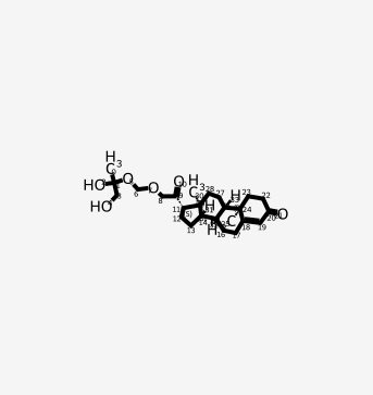 CC(O)(CO)OCOCC(=O)[C@H]1CC[C@H]2[C@@H]3CCC4=CC(=O)CC[C@]4(C)[C@H]3CC[C@]12C